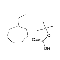 CC(C)(C)OC(=O)O.CCC1CCCCCC1